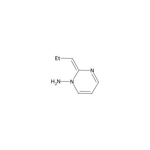 CC/C=C1/N=CC=CN1N